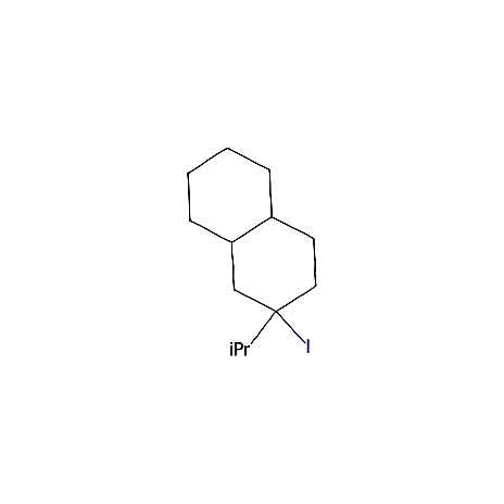 CC(C)C1(I)CCC2CCCCC2C1